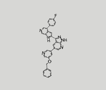 Fc1ccc(-c2cncc3[nH]c(-c4n[nH]c5ncc(-c6cncc(OCc7ccccc7)c6)cc45)cc23)cc1